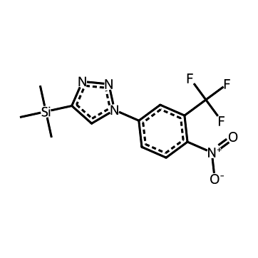 C[Si](C)(C)c1cn(-c2ccc([N+](=O)[O-])c(C(F)(F)F)c2)nn1